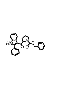 O=C(c1c(-c2ccccc2)[nH]c2ccccc12)C1CCCN1C(=O)OCc1ccccc1